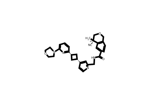 C[C@@]1(C#N)COCc2ccc(C(=O)NCc3cc([C@H]4C[C@@H](c5cccc(N6CCOCC6)n5)C4)ccn3)cc21